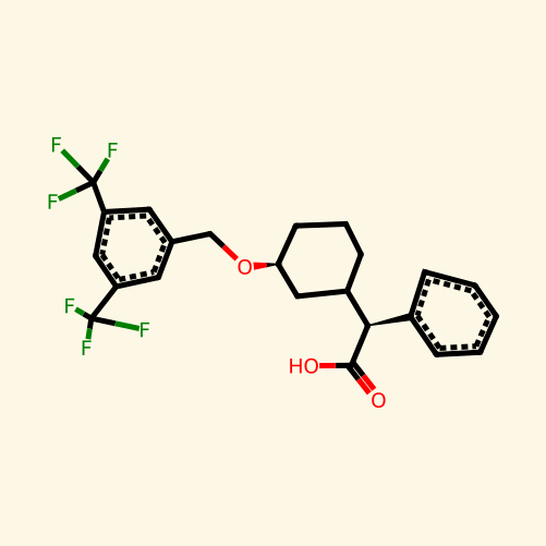 O=C(O)[C@H](c1ccccc1)C1CCC[C@H](OCc2cc(C(F)(F)F)cc(C(F)(F)F)c2)C1